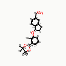 Cc1c(OC2CCc3cc(CO)ccc32)cccc1B1OC(C)(C)C(C)(C)O1